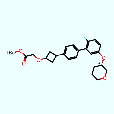 CC(C)(C)OC(=O)CO[C@H]1C[C@@H](c2ccc(-c3cc(O[C@@H]4CCCOC4)ccc3F)cc2)C1